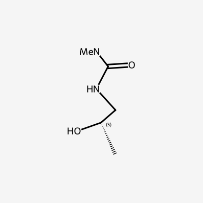 CNC(=O)NC[C@H](C)O